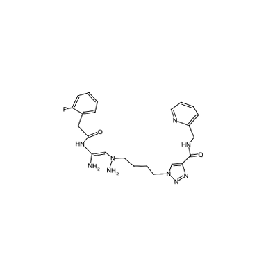 N/C(=C\N(N)CCCCn1cc(C(=O)NCc2ccccn2)nn1)NC(=O)Cc1ccccc1F